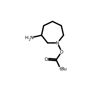 CC(C)(C)C(=O)ON1CCCCC(N)C1